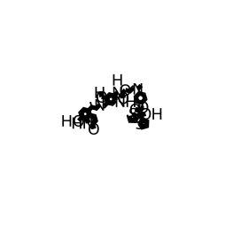 COc1cc(NC(=O)OCCN(C)[C@H]2CC[C@H](OC(=O)C(O)(c3cccs3)c3cccs3)CC2)c(N)cc1CNC[C@H](C)c1ccc(O)c2[nH]c(=O)ccc12